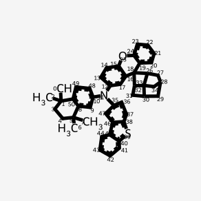 CC1(C)CCC(C)(C)c2cc(N(c3ccc4c(c3)C3(c5ccccc5O4)C4CC5CC6CC3C64C5)c3ccc4sc5ccccc5c4c3)ccc21